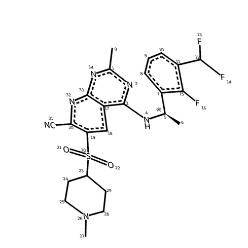 Cc1nc(N[C@H](C)c2cccc(C(F)F)c2F)c2cc(S(=O)(=O)C3CCN(C)CC3)c(C#N)nc2n1